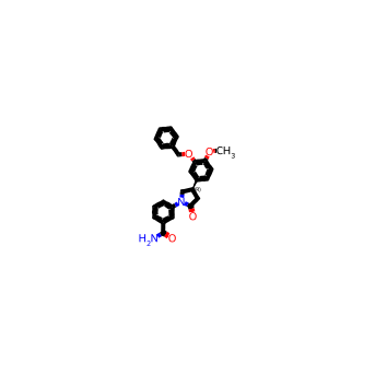 COc1ccc([C@H]2CC(=O)N(c3cccc(C(N)=O)c3)C2)cc1OCc1ccccc1